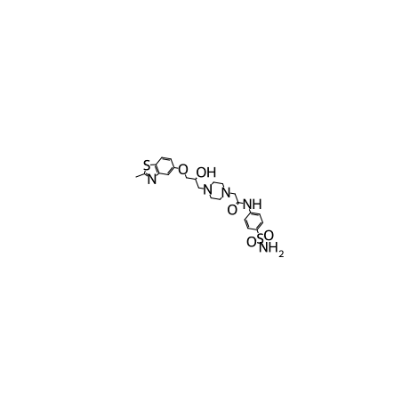 Cc1nc2cc(OC[C@@H](O)CN3CCN(CC(=O)Nc4ccc(S(N)(=O)=O)cc4)CC3)ccc2s1